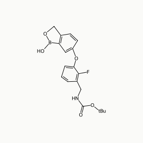 CC(C)(C)OC(=O)NCc1cccc(Oc2ccc3c(c2)B(O)OC3)c1F